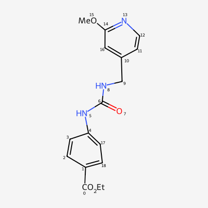 CCOC(=O)c1ccc(NC(=O)NCc2ccnc(OC)c2)cc1